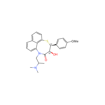 COc1ccc([C@@H]2Sc3cccc4cccc(c34)N(CC(C)N(C)C)C(=O)[C@@H]2O)cc1